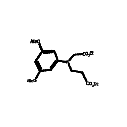 CCOC(=O)CCN(CC(=O)OCC)c1cc(OC)cc(OC)c1